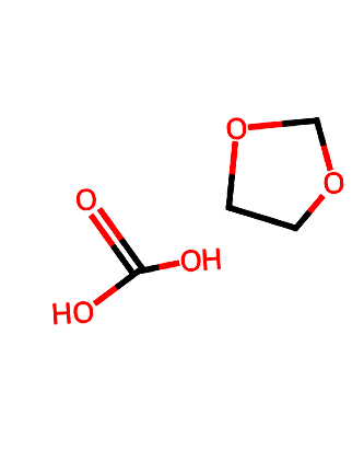 C1COCO1.O=C(O)O